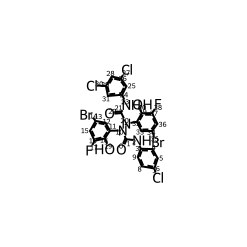 O=C(Nc1ccc(Cl)cc1)N(c1cc(Br)cc(F)c1O)N(C(=O)Nc1cc(Cl)cc(Cl)c1)c1cc(Br)cc(F)c1O